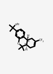 CCCC(C)(C)c1ccc2c(c1)OC(C)(C)[C@@H]1CC=C(C(F)(F)F)C[C@@H]21